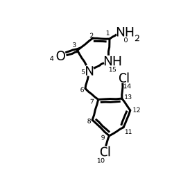 Nc1cc(=O)n(Cc2cc(Cl)ccc2Cl)[nH]1